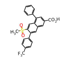 CS(=O)(=O)c1cc2c(-c3ccccc3)cc(C(=O)O)cc2cc1-c1ccc(C(F)(F)F)cc1